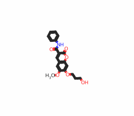 COc1cc2cc(C(=O)Nc3ccccc3)c(=O)oc2cc1OCCCO